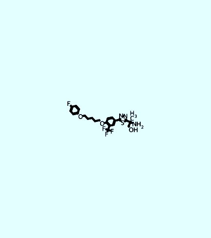 CC(N)(CO)c1nnc(-c2ccc(OCCCCCOc3ccc(F)cc3)c(C(F)(F)F)c2)s1